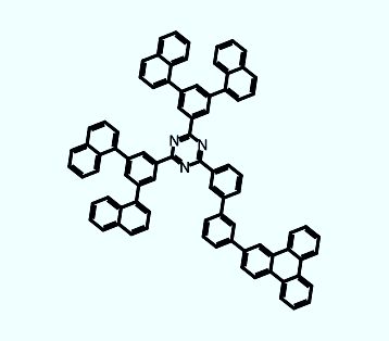 c1cc(-c2cccc(-c3nc(-c4cc(-c5cccc6ccccc56)cc(-c5cccc6ccccc56)c4)nc(-c4cc(-c5cccc6ccccc56)cc(-c5cccc6ccccc56)c4)n3)c2)cc(-c2ccc3c4ccccc4c4ccccc4c3c2)c1